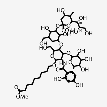 COC(=O)CCCCCCCCOC1OC(CO)C(OC2CC(CO)C(O)C(OC3(C(=O)O)CC(O)C(C)C([C@H](O)[C@H](O)CO)O3)C2O)C(OC2OC(C)C(O)C(O)C2O)C1NC(=O)c1ccc(O)cc1O